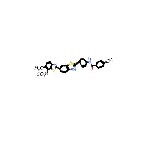 Cc1ccc2nc(-c3ccc4nc(-c5ccc(NC(=O)c6ccc(C(F)(F)F)cc6)cc5)sc4c3)sc2c1S(=O)(=O)O